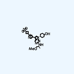 COC[C@H](C)Nc1ncc2c(-c3cnn(C4CC(S(C)(=O)=O)C4)c3)cc([C@H]3CC[C@H](O)CC3)n2n1